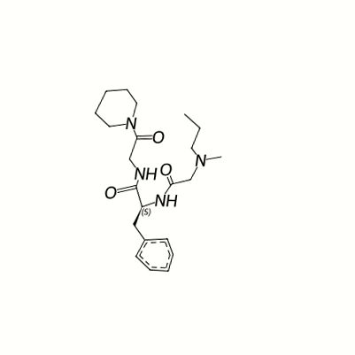 CCCN(C)CC(=O)N[C@@H](Cc1ccccc1)C(=O)NCC(=O)N1CCCCC1